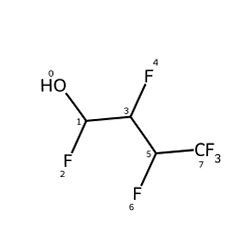 OC(F)C(F)C(F)C(F)(F)F